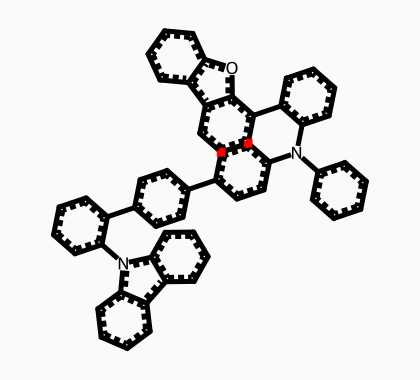 c1ccc(N(c2ccc(-c3ccc(-c4ccccc4-n4c5ccccc5c5ccccc54)cc3)cc2)c2ccccc2-c2cccc3c2oc2ccccc23)cc1